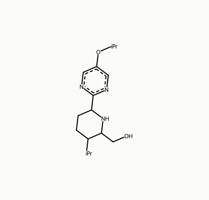 CC(C)Oc1cnc(C2CCC(C(C)C)C(CO)N2)nc1